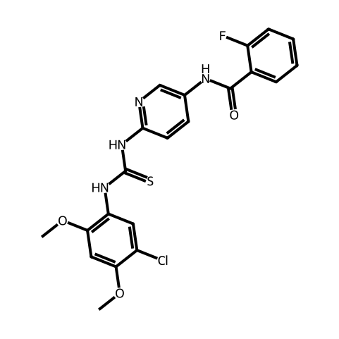 COc1cc(OC)c(NC(=S)Nc2ccc(NC(=O)c3ccccc3F)cn2)cc1Cl